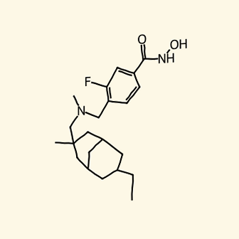 CCC1CC2CC(C1)CC(C)(CN(C)Cc1ccc(C(=O)NO)cc1F)C2